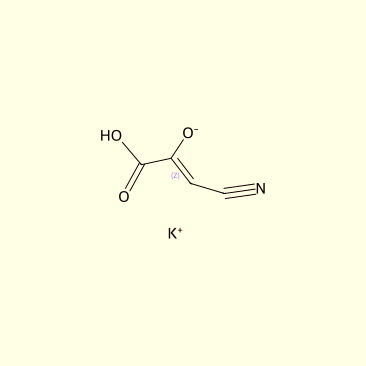 N#C/C=C(\[O-])C(=O)O.[K+]